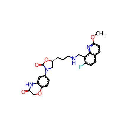 COc1ccc2ccc(F)c(CNCCC[C@@H]3CN(c4ccc5c(c4)NC(=O)CO5)C(=O)O3)c2n1